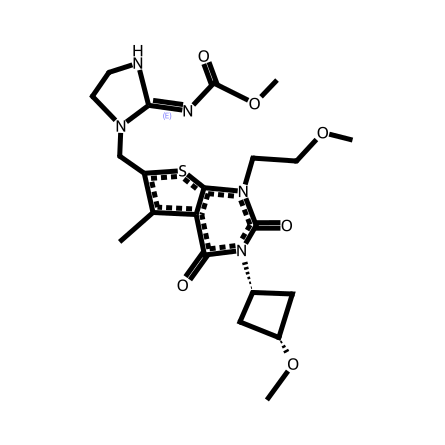 COCCn1c(=O)n([C@H]2C[C@@H](OC)C2)c(=O)c2c(C)c(CN3CCN/C3=N\C(=O)OC)sc21